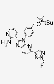 CC(C)(C)[Si](C)(C)OCc1ccc(-n2c(-c3cccnc3N)nc3ccc(-c4cnn(CF)n4)nc32)cc1